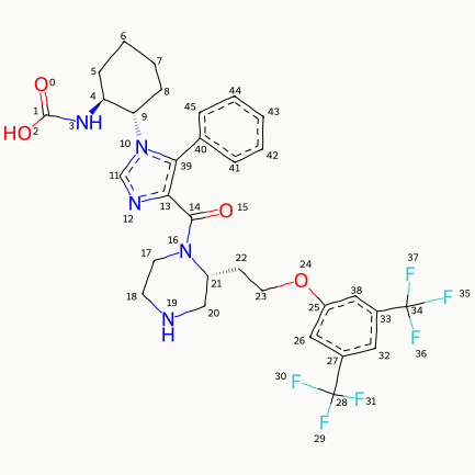 O=C(O)N[C@H]1CCCC[C@@H]1n1cnc(C(=O)N2CCNC[C@H]2CCOc2cc(C(F)(F)F)cc(C(F)(F)F)c2)c1-c1ccccc1